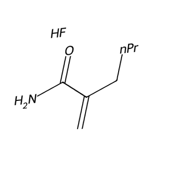 C=C(CCCC)C(N)=O.F